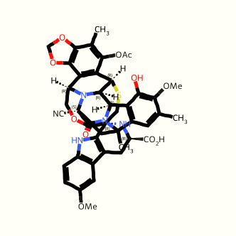 COc1ccc2[nH]c3c(c2c1)C[C@H](C(=O)O)N[C@]31CS[C@@H]2c3c(OC(C)=O)c(C)c4c(c3[C@H](COC1=O)N1[C@@H]2[C@H]2c3c(cc(C)c(OC)c3O)C3(C)C[C@@]1(C#N)CN23)OCO4